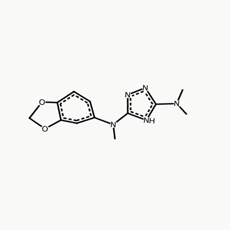 CN(C)c1nnc(N(C)c2ccc3c(c2)OCO3)[nH]1